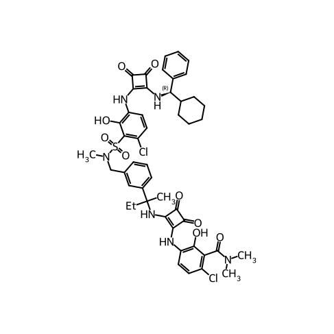 CCC(C)(Nc1c(Nc2ccc(Cl)c(C(=O)N(C)C)c2O)c(=O)c1=O)c1cccc(CN(C)S(=O)(=O)c2c(Cl)ccc(Nc3c(N[C@@H](c4ccccc4)C4CCCCC4)c(=O)c3=O)c2O)c1